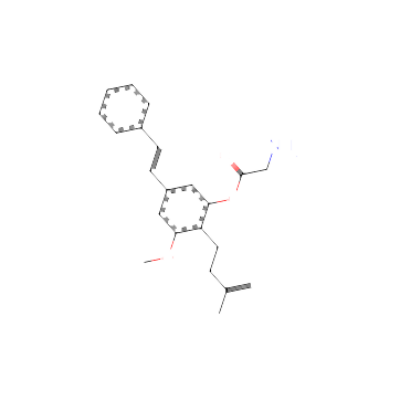 C=C(C)CCc1c(OC)cc(C=Cc2ccccc2)cc1OC(=O)CN